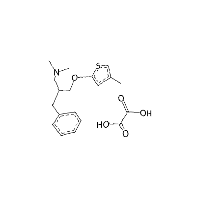 Cc1csc(OCC(Cc2ccccc2)CN(C)C)c1.O=C(O)C(=O)O